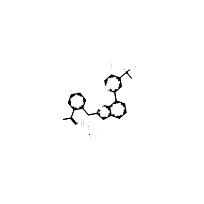 C=C(C)c1ccccc1[C@@H](N[S+]([O-])C(C)(C)C)c1cc2cccc(-c3cc([C@@](C)(O)C(F)(F)F)ccn3)c2s1